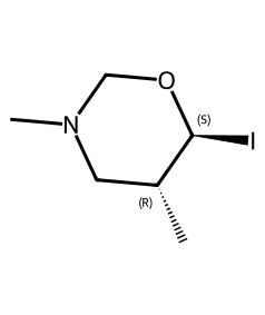 C[C@@H]1CN(C)CO[C@H]1I